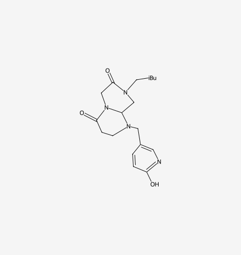 CCC(C)CN1CC2N(Cc3ccc(O)nc3)CCC(=O)N2CC1=O